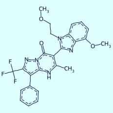 COCCn1c(-c2c(C)[nH]c3c(-c4ccccc4)c(C(F)(F)F)nn3c2=O)nc2c(OC)cccc21